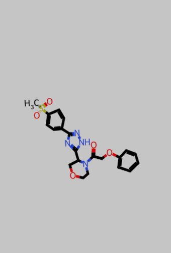 CS(=O)(=O)c1ccc(-c2n[nH]c(C3COCCN3C(=O)COc3ccccc3)n2)cc1